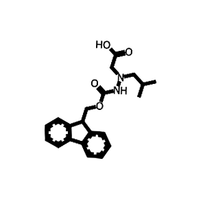 CC(C)CN(CC(=O)O)NC(=O)OCC1c2ccccc2-c2ccccc21